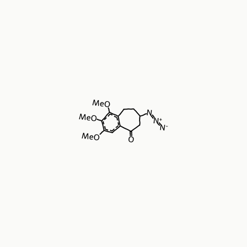 COc1cc2c(c(OC)c1OC)CCC(N=[N+]=[N-])CC2=O